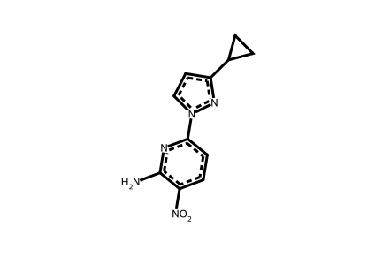 Nc1nc(-n2ccc(C3CC3)n2)ccc1[N+](=O)[O-]